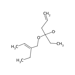 C=CCC([O])(CC)OCC(=CC)CC